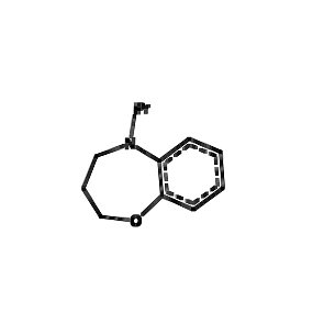 CC(C)N1CCCOc2ccccc21